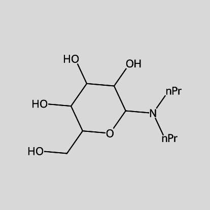 CCCN(CCC)C1OC(CO)C(O)C(O)C1O